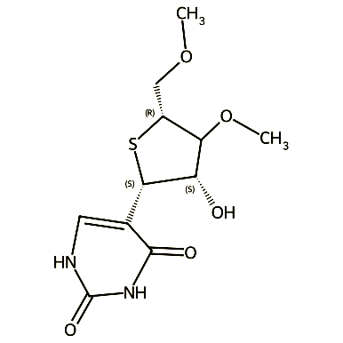 COC[C@H]1S[C@@H](c2c[nH]c(=O)[nH]c2=O)[C@@H](O)C1OC